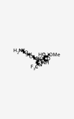 COC[C@H]1OC[C@H](Nc2nc(OCCOCCOCCN)cc(C(F)(F)F)n2)[C@@H](O)[C@H]1O